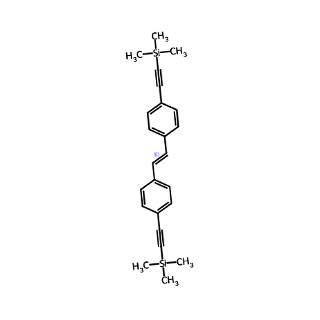 C[Si](C)(C)C#Cc1ccc(/C=C/c2ccc(C#C[Si](C)(C)C)cc2)cc1